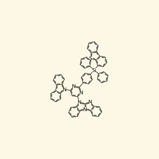 c1ccc([Si](c2ccccc2)(c2ccc(-c3nc(-n4c5ccccc5c5ccccc54)cc(-n4c5ccccc5n5c6ccccc6nc45)n3)cc2)c2cccc3c2sc2ccccc23)cc1